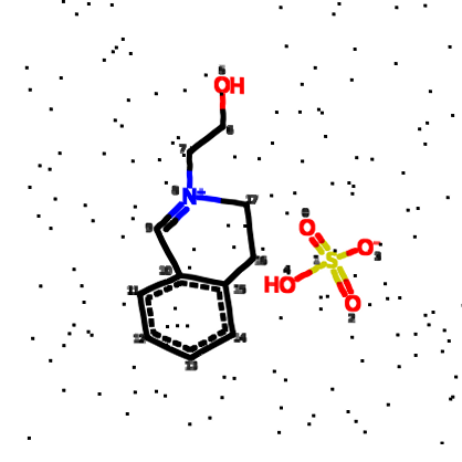 O=S(=O)([O-])O.OCC[N+]1=Cc2ccccc2CC1